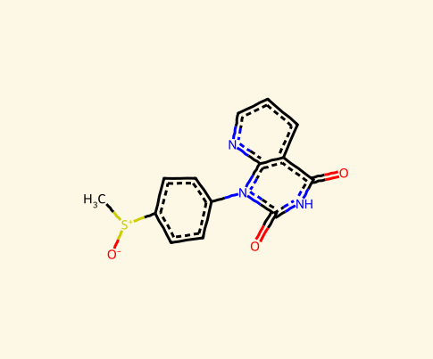 C[S+]([O-])c1ccc(-n2c(=O)[nH]c(=O)c3cccnc32)cc1